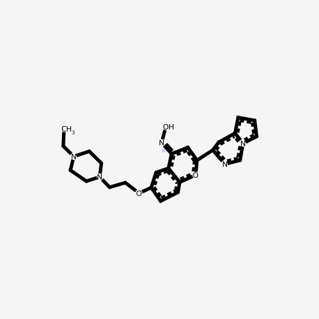 CCN1CCN(CCOc2ccc3oc(-c4cc5cccn5cn4)c/c(=N\O)c3c2)CC1